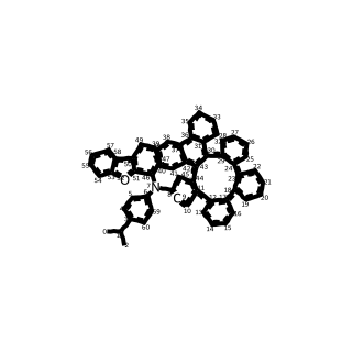 CC(C)c1ccc(N(c2ccc3c4ccccc4c4ccccc4c4ccccc4c4c5ccccc5c5ccccc5c4c3c2)c2cccc3c2oc2ccccc23)cc1